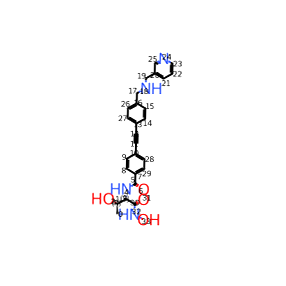 C[C@@H](O)[C@H](NC(=O)c1ccc(C#Cc2ccc(CNCc3cccnc3)cc2)cc1)C(=O)NO